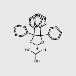 OP(O)O.c1ccc(C2(c3ccccc3)OPOC2(c2ccccc2)c2ccccc2)cc1